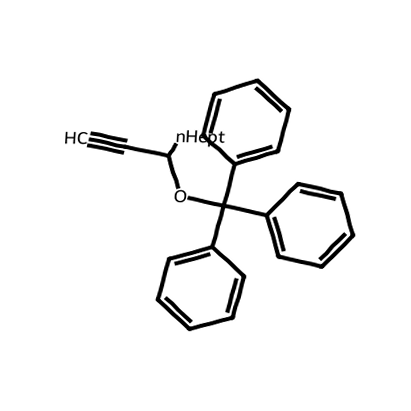 C#CC(CCCCCCC)OC(c1ccccc1)(c1ccccc1)c1ccccc1